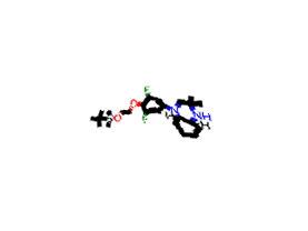 CC1(C)CN(c2cc(F)c(OCCO[Si](C)(C)C(C)(C)C)c(F)c2)[C@H]2CCCC[C@@H]2N1